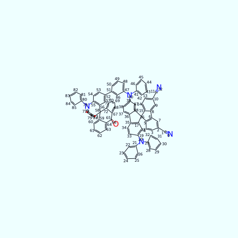 N#Cc1ccc2c(c1)-c1cc(C#N)ccc1C21c2cc(N(c3ccccc3)c3ccccc3)ccc2-c2ccc(N(c3ccccc3)c3cccc(-c4ccc5c(c4)C4(c6ccccc6C(=O)c6ccccc64)c4ccccc4N5c4ccccc4)c3)cc21